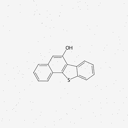 Oc1cc2ccccc2c2sc3ccccc3c12